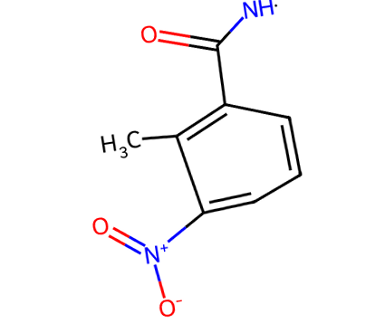 Cc1c(C([NH])=O)cccc1[N+](=O)[O-]